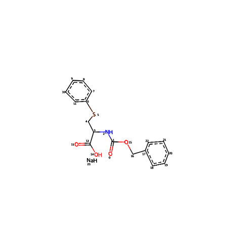 O=C(NC(CSc1ccccc1)C(=O)O)OCc1ccccc1.[NaH]